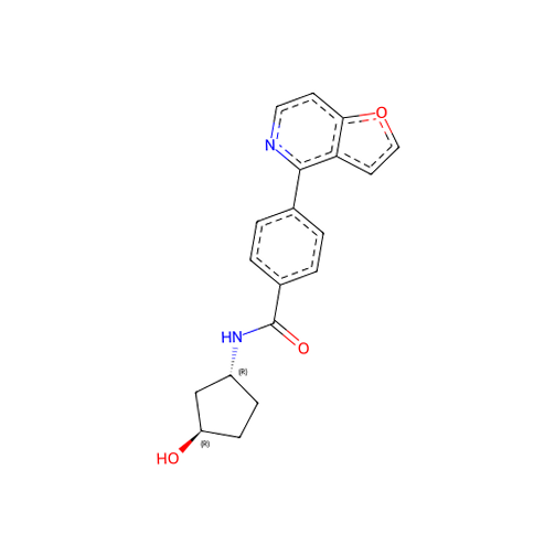 O=C(N[C@@H]1CC[C@@H](O)C1)c1ccc(-c2nccc3occc23)cc1